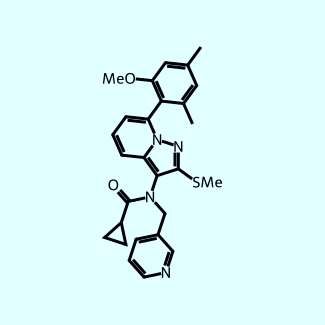 COc1cc(C)cc(C)c1-c1cccc2c(N(Cc3cccnc3)C(=O)C3CC3)c(SC)nn12